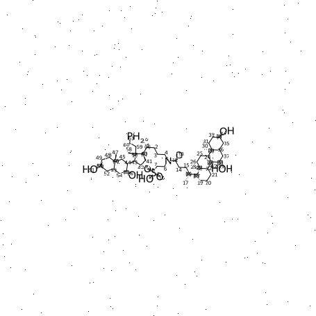 C[C@H](CCCN(CCS(=O)(=O)O)C(=O)CC[C@@H](C)[C@H]1CCCC2[C@H]3C(CC[C@@]21C)[C@@]1(C)CC[C@@H](O)CC1C[C@@H]3O)[C@H]1CCC(C2C[C@@]3(C)CC[C@@H](O)CC3C[C@@H]2O)[C@]1(C)CCP